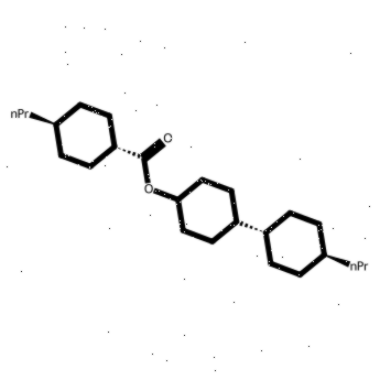 CCC[C@H]1CC[C@H](C(=O)OC2CCC([C@H]3CC[C@H](CCC)CC3)CC2)CC1